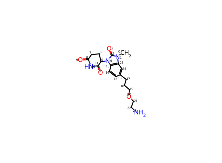 Cn1c(=O)n(C2CCC(=O)NC2=O)c2ccc(CCCOCCN)cc21